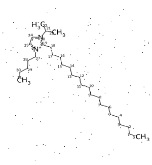 CCCCCCCCCCCCCCCCCCCc1n(C(C)C)cc[n+]1CCCCC